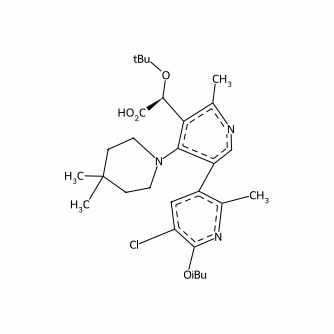 Cc1nc(OCC(C)C)c(Cl)cc1-c1cnc(C)c([C@H](OC(C)(C)C)C(=O)O)c1N1CCC(C)(C)CC1